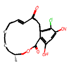 C[C@@H]1CCCCC/C=C/C(=O)Cc2c(Cl)c(O)cc(O)c2C(=O)O1